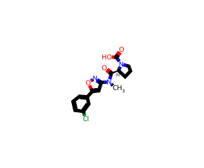 CN(C(=O)[C@@H]1CCCN1C(=O)O)c1cc(-c2cccc(Cl)c2)on1